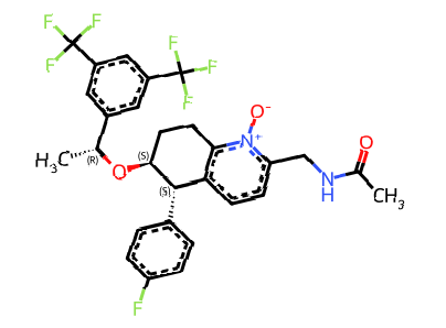 CC(=O)NCc1ccc2c([n+]1[O-])CC[C@H](O[C@H](C)c1cc(C(F)(F)F)cc(C(F)(F)F)c1)[C@H]2c1ccc(F)cc1